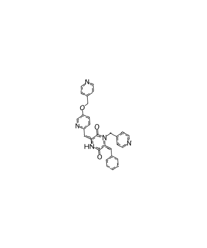 O=c1[nH]c(=Cc2ccc(OCc3ccncc3)cn2)c(=O)n(Cc2ccncc2)c1=Cc1ccccc1